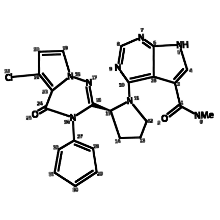 CNC(=O)c1c[nH]c2ncnc(N3CCC[C@H]3c3nn4ccc(Cl)c4c(=O)n3-c3ccccc3)c12